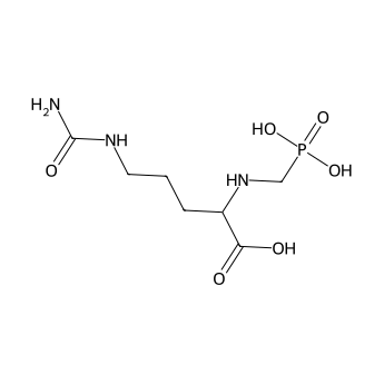 NC(=O)NCCCC(NCP(=O)(O)O)C(=O)O